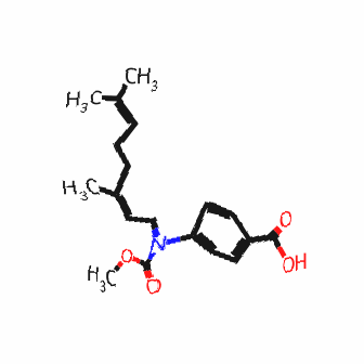 COC(=O)N(CC=C(C)CCC=C(C)C)c1ccc(C(=O)O)cc1